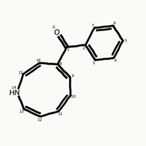 O=C(c1ccccc1)c1ccccc[nH]cc1